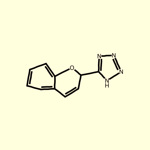 C1=CC(c2nnn[nH]2)Oc2ccccc21